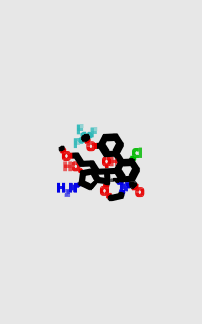 COCCCC[C@@](O)(c1cccc(Cl)c1-c1cccc(OC(F)(F)F)c1)[C@@]1([C@H]2C[C@@H](N)[C@@H](O)C2)CN(C=O)CCO1